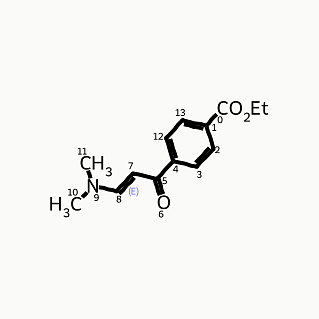 CCOC(=O)c1ccc(C(=O)/C=C/N(C)C)cc1